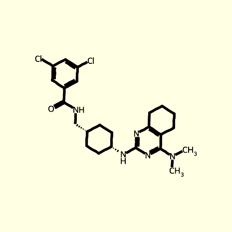 CN(C)c1nc(N[C@H]2CC[C@@H](CNC(=O)c3cc(Cl)cc(Cl)c3)CC2)nc2c1CCCC2